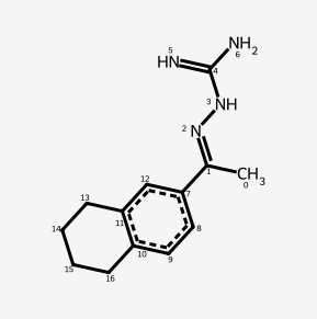 CC(=NNC(=N)N)c1ccc2c(c1)CCCC2